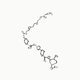 C=CC(=O)OCCOCCOCCOC(=O)Oc1ccc(C(=O)Oc2ccc(-c3ccc(C(=O)OC4CC(C)CCC4C(C)C)cc3)cc2)cc1